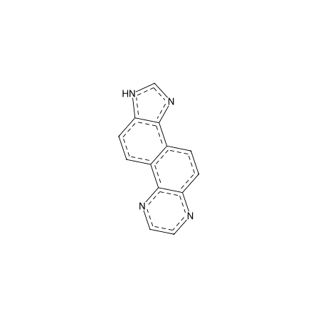 c1cnc2c(ccc3c2ccc2[nH]cnc23)n1